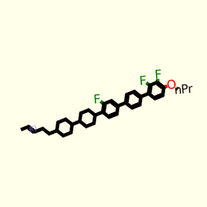 C/C=C/CCC1CCC(C2CCC(c3ccc(-c4ccc(-c5ccc(OCCC)c(F)c5F)cc4)cc3F)CC2)CC1